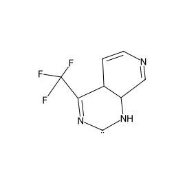 FC(F)(F)C1=N[C]NC2C=NC=CC12